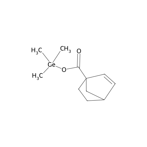 [CH3][Ge]([CH3])([CH3])[O]C(=O)C12C=CC(CC1)C2